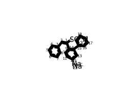 O=S(=O)(O)C(=Cc1ccccc1)c1ccccc1-c1ccccc1.[Na].[Na]